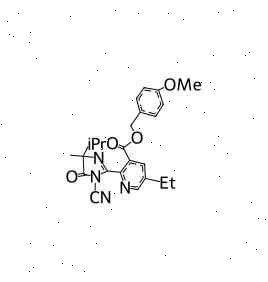 CCc1cnc(C2=NC(C)(C(C)C)C(=O)N2C#N)c(C(=O)OCc2ccc(OC)cc2)c1